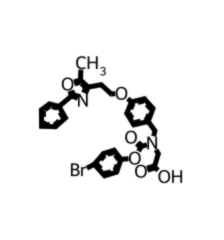 Cc1oc(-c2ccccc2)nc1CCOc1ccc(CN(CC(=O)O)C(=O)Oc2ccc(Br)cc2)cc1